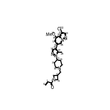 C=CC(=O)N1CC(CN2CCC(n3ncc(-c4cc(OC)c5c(Cl)cnn5c4)c3C)CC2)C1